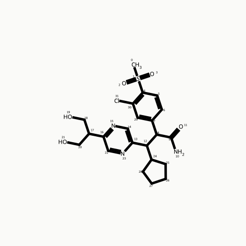 CS(=O)(=O)c1ccc(C(C(N)=O)C(c2cnc(C(CO)CO)cn2)C2CCCC2)cc1Cl